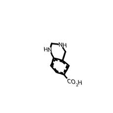 O=C(O)c1ccc2c(c1)CNCN2